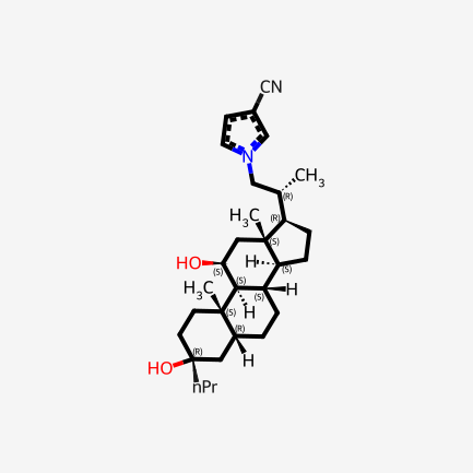 CCC[C@@]1(O)CC[C@@]2(C)[C@H](CC[C@@H]3[C@@H]2[C@@H](O)C[C@]2(C)[C@@H]([C@@H](C)Cn4ccc(C#N)c4)CC[C@@H]32)C1